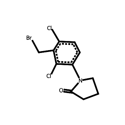 O=C1CCCN1c1ccc(Cl)c(CBr)c1Cl